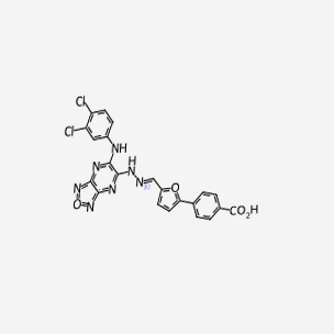 O=C(O)c1ccc(-c2ccc(/C=N/Nc3nc4nonc4nc3Nc3ccc(Cl)c(Cl)c3)o2)cc1